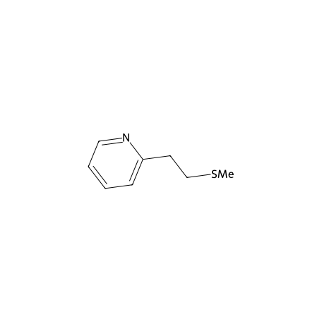 CSCCc1ccccn1